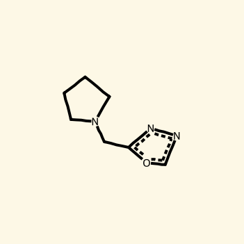 c1nnc(CN2CCCC2)o1